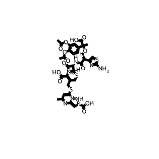 CC(=O)Oc1ccc(C(C)(ON=C(C(=O)N[C@@H]2C(=O)N3C(C(=O)O)=C(CSC4=CC(C)=NC5=CN(C(=O)O)NN54)CS[C@H]23)c2csc(N)n2)C(=O)O)cc1OC(C)=O